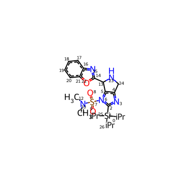 CC(C)[Si](c1nc2c(n1S(=O)(=O)N(C)C)C(c1nc3ccccc3o1)NC2)(C(C)C)C(C)C